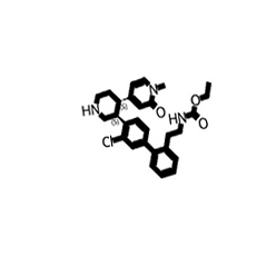 CCOC(=O)NCCc1ccccc1-c1ccc([C@H]2CNCC[C@@H]2c2ccn(C)c(=O)c2)c(Cl)c1